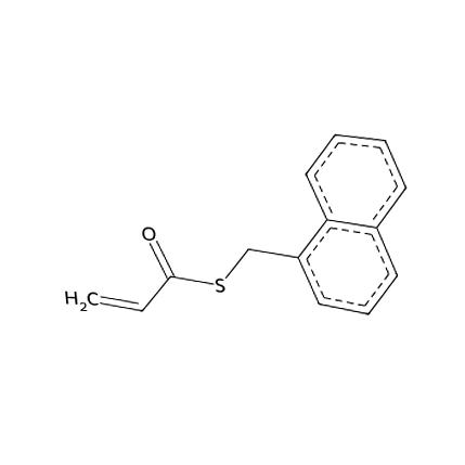 C=CC(=O)SCc1cccc2ccccc12